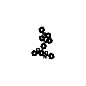 c1ccc(-c2nc3cc4c(oc5ccccc54)c(-c4ccc(N(c5ccccc5)c5cccc6c5c5ccccc5n6-c5ccccc5)cc4)c3o2)cc1